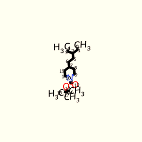 CCC(CC)CCC1CCN(C(=O)OC(C)(C)C)CC1